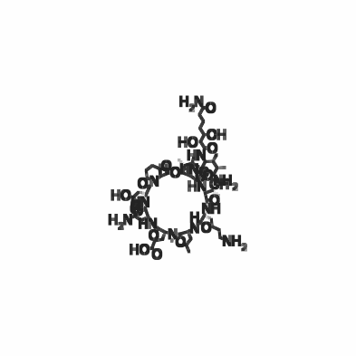 CC(C)C[C@@H]1NC(=O)[C@@H](CCCCN)NC(=O)[C@@H]([C@@H](C)O)NC(=O)[C@H](NC(=O)[C@@H](NC(=O)[C@H](O)C(O)CCCC(N)=O)[C@@H](C)[C@@H](C)C(N)=O)[C@@H]([C@H](C)C(C)C)OC(=O)[C@@H]2CCCCN2C(=O)[C@@H](CC(=O)O)NC(=O)[C@H](CC(N)=O)NC(=O)[C@H](CCC(=O)O)N(C)C1=O